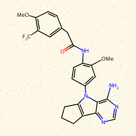 COc1cc(-n2c3c(c4ncnc(N)c42)CCC3)ccc1NC(=O)Cc1ccc(OC)c(C(F)(F)F)c1